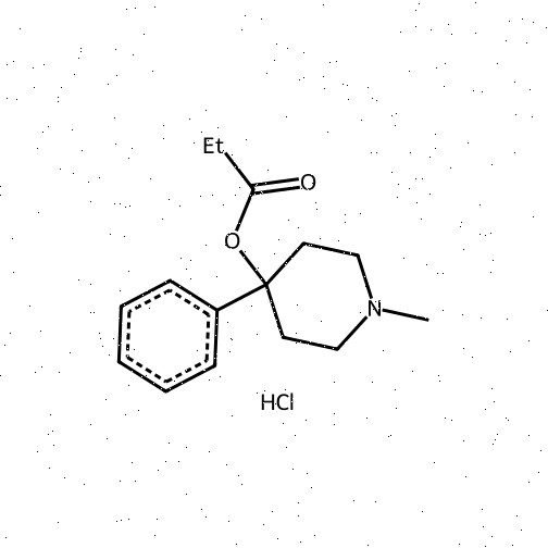 CCC(=O)OC1(c2ccccc2)CCN(C)CC1.Cl